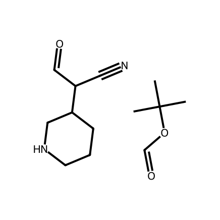 CC(C)(C)OC=O.N#CC(C=O)C1CCCNC1